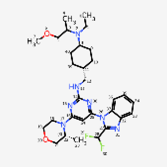 CCN(C(C)COC)[C@H]1CC[C@H](CNc2nc(N3CCOC[C@H]3C)cc(-n3c(C(F)F)nc4ccccc43)n2)CC1